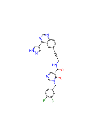 O=C(NCC#Cc1ccc2ncnc(-c3cn[nH]c3)c2c1)c1cncn(Cc2ccc(F)c(F)c2)c1=O